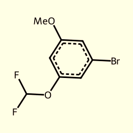 COc1cc(Br)cc(OC(F)F)c1